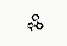 Cc1nccn1-c1ccccc1N1CCCCC1